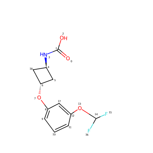 O=C(O)N[C@H]1C[C@H](Oc2cccc(OC(F)F)c2)C1